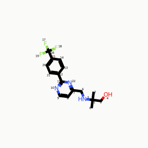 CC(C)(CO)NCc1ccnc(-c2ccc(C(F)(F)F)cc2)n1